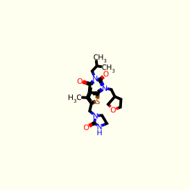 Cc1c(CN2CCNC2=O)sc2c1c(=O)n(CC(C)C)c(=O)n2CC1CCOC1